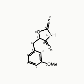 COc1cccc(CC2OC(=S)NC2=O)c1